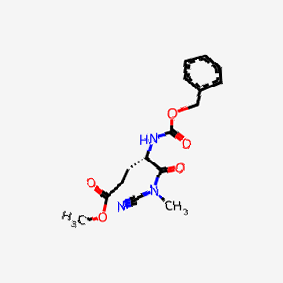 COC(=O)CC[C@H](NC(=O)OCc1ccccc1)C(=O)N(C)C#N